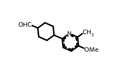 COc1ccc(C2CCC(C=O)CC2)nc1C